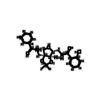 CC1(C)O[C@@H]2[C@@H](CNC(=O)c3ccccc3Cl)OC[C@]2(CNC(=O)c2cccnc2)O1